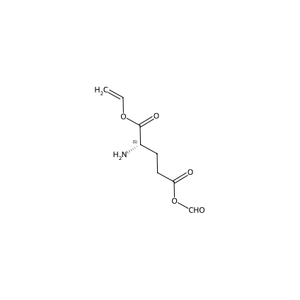 C=COC(=O)[C@@H](N)CCC(=O)OC=O